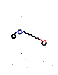 c1ccc(CN2CCN(CCCCCCCCCCOC3CCCCO3)CC2)cc1